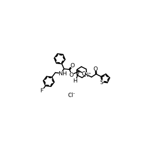 O=C(C[N+]12CCC(CC1)[C@@H](OC(=O)C(NCc1ccc(F)cc1)c1ccccc1)C2)c1cccs1.[Cl-]